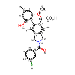 Cc1ccc(-c2c(C)c3c(c(C)c2[C@H](OC(C)(C)C)C(=O)O)CN(C(=O)c2cccc(F)c2)C3)c(O)c1